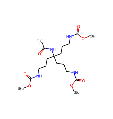 CC(C)(C)OC(=O)NCCCC(CCCNC(=O)OC(C)(C)C)(CCCNC(=O)OC(C)(C)C)NC(=O)C(F)(F)F